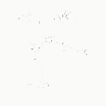 COP(=O)(O)OCCOCCNC(=O)CCCC(=O)N[C@@H](CCC(=O)N[C@@H](CCC(=O)NCCOCCOC1OC(CO)C(O)C(O)C1NC(C)=O)C(=O)NCCOCCCCC1OC(CO)C(O)C(O)C1NC(C)=O)C(=O)NCCOCCOC1OC(CO)C(O)C(O)C1NC(C)=O